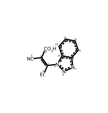 CCC(=C(C#N)C(=O)O)n1nnc2ccccc21